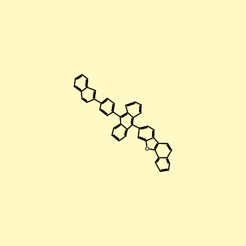 c1ccc2cc(-c3ccc(-c4c5ccccc5c(-c5ccc6c(c5)oc5c7ccccc7ccc65)c5ccccc45)cc3)ccc2c1